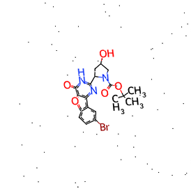 CC(C)(C)OC(=O)N1CC(O)CC1c1nc2c(oc3ccc(Br)cc32)c(=O)[nH]1